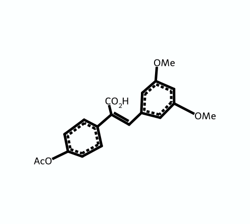 COc1cc(/C=C(\C(=O)O)c2ccc(OC(C)=O)cc2)cc(OC)c1